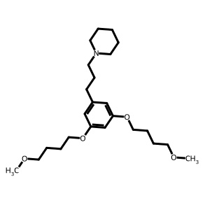 COCCCCOc1cc(CCCN2CCCCC2)cc(OCCCCOC)c1